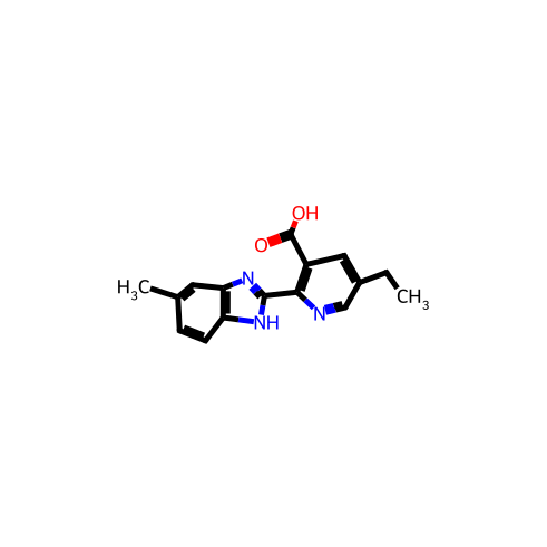 CCc1cnc(-c2nc3cc(C)ccc3[nH]2)c(C(=O)O)c1